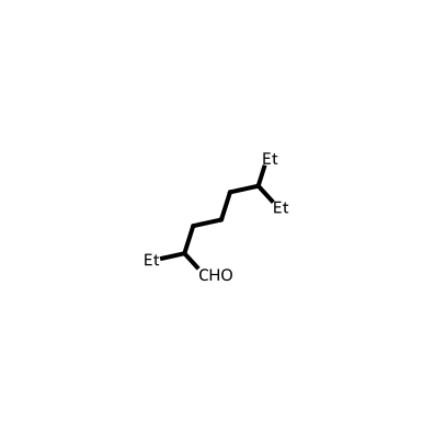 CCC(C=O)CCCC(CC)CC